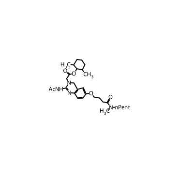 CCCCCN(C)C(=O)CCCOc1ccc2c(c1)CN(CC(=O)OC1C(C)CCCC1C)C(NC(C)=O)=N2